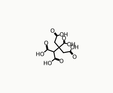 O=C(O)CC(CC(=O)O)(C(=O)O)C(C(=O)O)C(=O)O